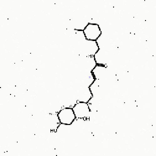 CC1CCCC(CNC(=O)/C=C/CC[C@@H](C)O[C@@H]2O[C@@H](C)[C@H](O)C[C@H]2O)C1